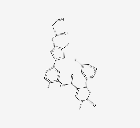 COC[C@@H](O)Cn1nc(-c2ccc(C)c(NC(=O)C3=CN(C)C(=O)C[C@H]3c3cccc(F)c3)c2)cc1C